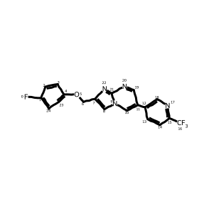 Fc1ccc(OCc2cn3cc(-c4ccc(C(F)(F)F)nc4)cnc3n2)cc1